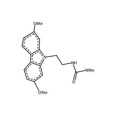 CNC(=O)NCCn1c2cc(OC)ccc2c2ccc(OC)cc21